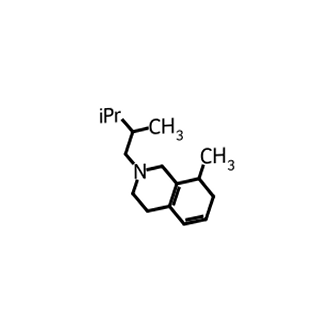 CC1CC=CC2=C1CN(CC(C)C(C)C)CC2